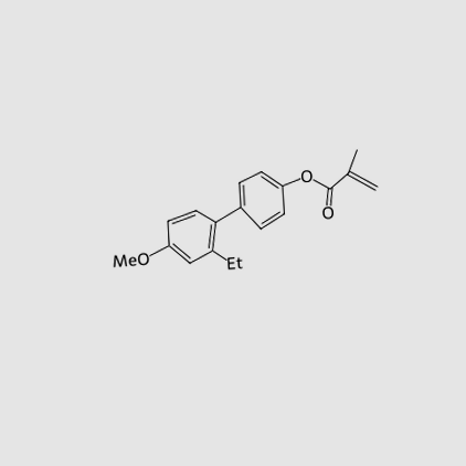 C=C(C)C(=O)Oc1ccc(-c2ccc(OC)cc2CC)cc1